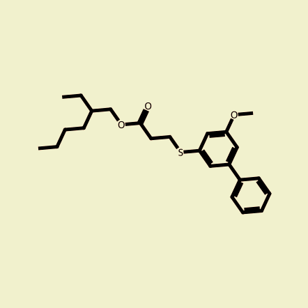 CCCCC(CC)COC(=O)CCSc1cc(OC)cc(-c2ccccc2)c1